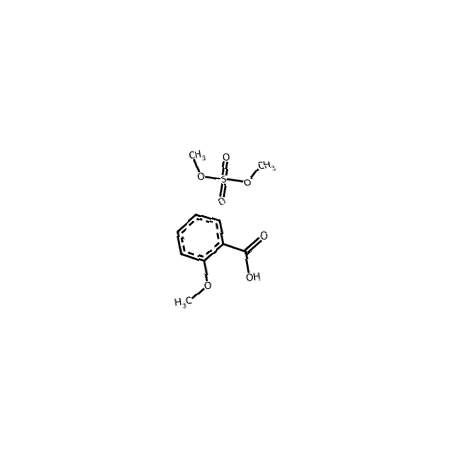 COS(=O)(=O)OC.COc1ccccc1C(=O)O